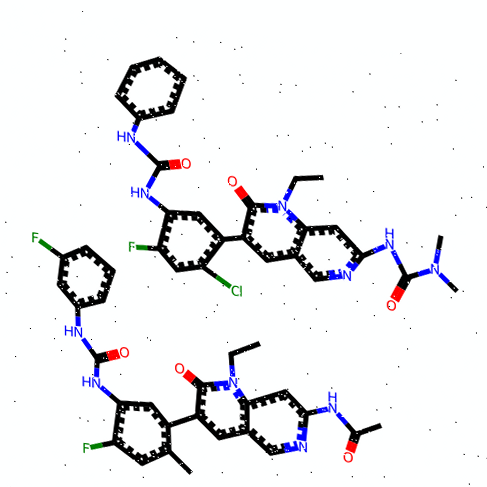 CCn1c(=O)c(-c2cc(NC(=O)Nc3cccc(F)c3)c(F)cc2C)cc2cnc(NC(C)=O)cc21.CCn1c(=O)c(-c2cc(NC(=O)Nc3ccccc3)c(F)cc2Cl)cc2cnc(NC(=O)N(C)C)cc21